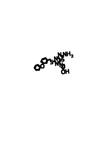 Nc1nc2nc(SCc3cccc(Oc4ccccc4)c3)nc(N3CCC(O)C3)c2s1